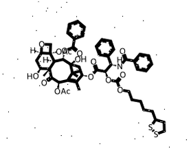 CC(=O)O[C@H]1C(=O)[C@@]2(C)[C@H]([C@H](OC(=O)c3ccccc3)[C@]3(O)C[C@H](OC(=O)[C@H](OC(=O)OCCCCCC4CCSS4)[C@@H](NC(=O)c4ccccc4)c4ccccc4)C(C)=C1C3(C)C)[C@]1(OC(C)=O)CO[C@@H]1C[C@@H]2O